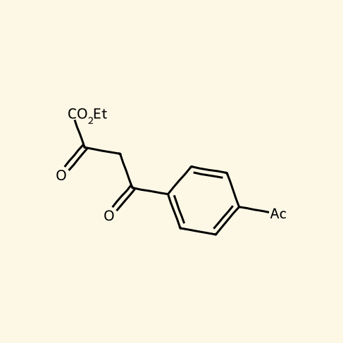 CCOC(=O)C(=O)CC(=O)c1ccc(C(C)=O)cc1